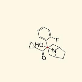 O=C(C1CC1)C(c1ccccc1F)N1C2CCC1CC(O)C2